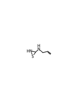 C=CCNC1NS1